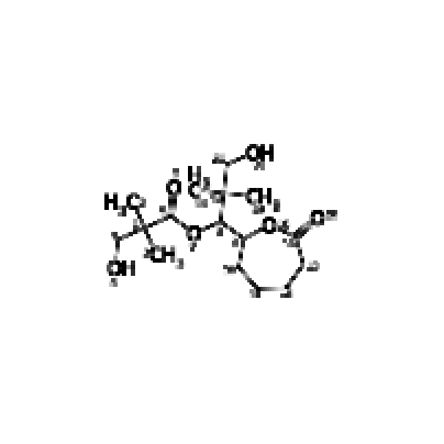 CC(C)(CO)C(=O)OC(C1CCCCC(=O)O1)C(C)(C)CO